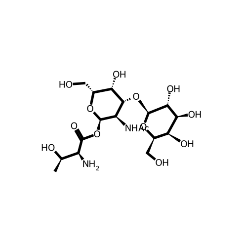 CC(=O)N[C@H]1[C@@H](OC(=O)[C@@H](N)[C@@H](C)O)O[C@H](CO)[C@H](O)[C@@H]1O[C@@H]1O[C@H](CO)[C@H](O)[C@H](O)[C@H]1O